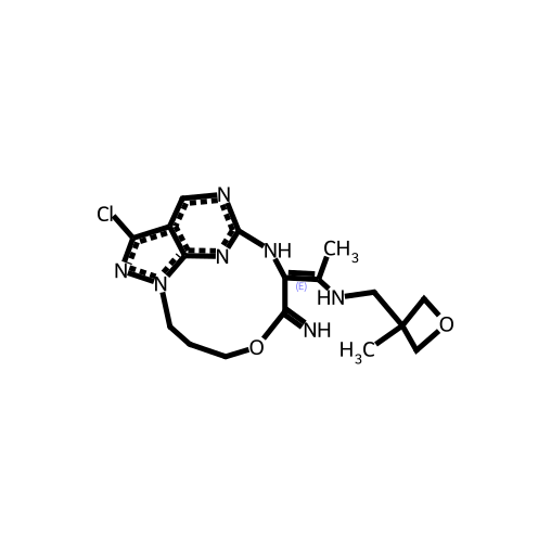 C/C(NCC1(C)COC1)=C1\Nc2ncc3c(Cl)nn(c3n2)CCCOC1=N